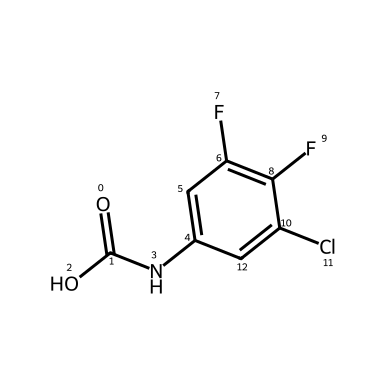 O=C(O)Nc1cc(F)c(F)c(Cl)c1